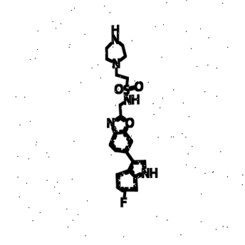 O=S(=O)(CCN1CCNCC1)NCc1nc2ccc(-c3c[nH]c4cc(F)ccc34)cc2o1